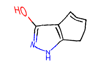 Oc1n[nH]c2c1C=CC2